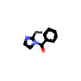 CCCCCc1nccn1C(=O)c1ccccc1